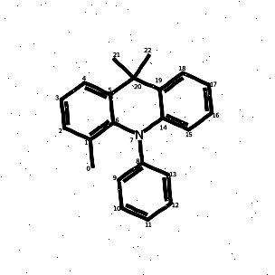 Cc1cccc2c1N(c1ccccc1)c1ccccc1C2(C)C